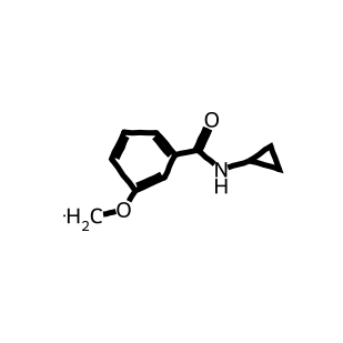 [CH2]Oc1cccc(C(=O)NC2CC2)c1